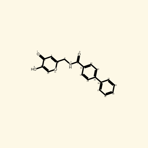 O=C(NCc1cc(=O)c(O)co1)c1ccc(-c2ccccc2)cc1